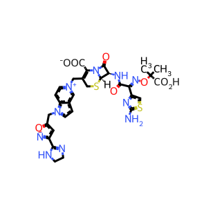 CC(C)(ON=C(C(=O)N[C@@H]1C(=O)N2C(C(=O)[O-])=C(C[n+]3ccc4c(ccn4Cc4cc(C5=NCCN5)no4)c3)CS[C@H]12)c1csc(N)n1)C(=O)O